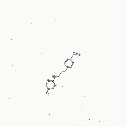 CCc1cnc(NCCCc2ccc(OC)cc2)nc1